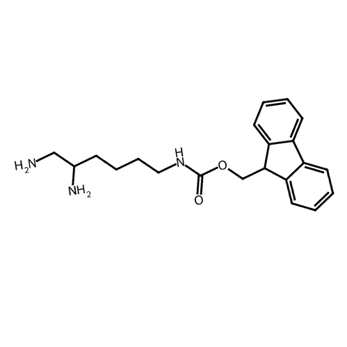 NCC(N)CCCCNC(=O)OCC1c2ccccc2-c2ccccc21